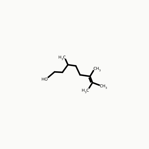 CC(C)=C(C)CCC(C)CCO